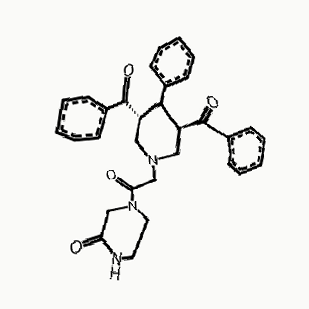 O=C1CN(C(=O)CN2C[C@H](C(=O)c3ccccc3)C(c3ccccc3)[C@@H](C(=O)c3ccccc3)C2)CCN1